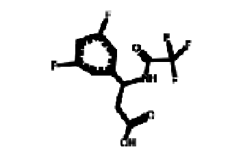 O=C(O)CC(NC(=O)C(F)(F)F)c1cc(F)cc(F)c1